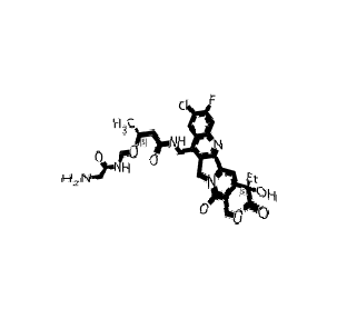 CC[C@@]1(O)C(=O)OCc2c1cc1n(c2=O)Cc2c-1nc1cc(F)c(Cl)cc1c2CNC(=O)C[C@H](C)OCNC(=O)CN